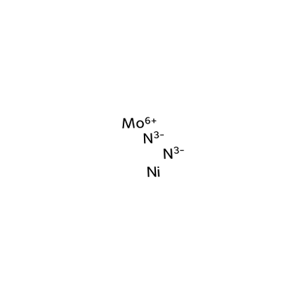 [Mo+6].[N-3].[N-3].[Ni]